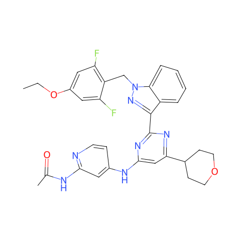 CCOc1cc(F)c(Cn2nc(-c3nc(Nc4ccnc(NC(C)=O)c4)cc(C4CCOCC4)n3)c3ccccc32)c(F)c1